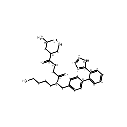 CCCCCN(Cc1ccc(-c2ccccc2-c2nnn[nH]2)cc1)C(=O)CNC(=O)C(CS)CC(C)C